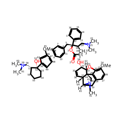 CCC(=O)O[C@](Cc1ccccc1)(c1ccccc1)[C@H](C)CN(C)C.COc1ccc2c3c1O[C@H]1[C@@H](O)C=C[C@H]4[C@@H](C2)N(C)CC[C@@]341.COc1cccc([C@@]2(O)CCCC[C@@H]2CN(C)C)c1